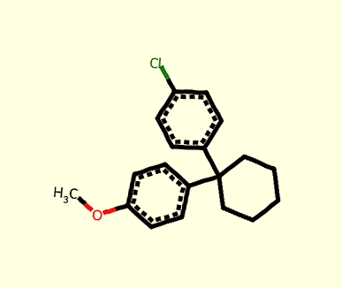 COc1ccc(C2(c3ccc(Cl)cc3)CCCCC2)cc1